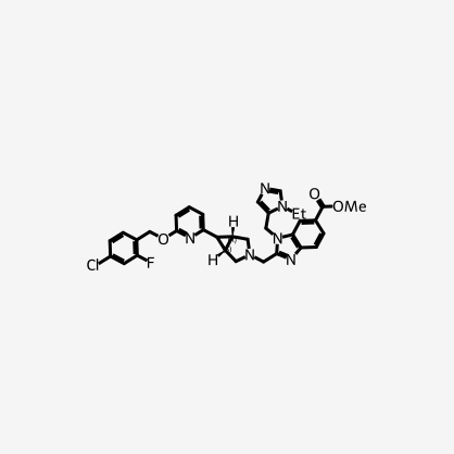 CCn1cncc1Cn1c(CN2C[C@@H]3C(c4cccc(OCc5ccc(Cl)cc5F)n4)[C@@H]3C2)nc2ccc(C(=O)OC)cc21